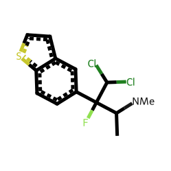 CNC(C)C(F)(c1ccc2sccc2c1)C(Cl)Cl